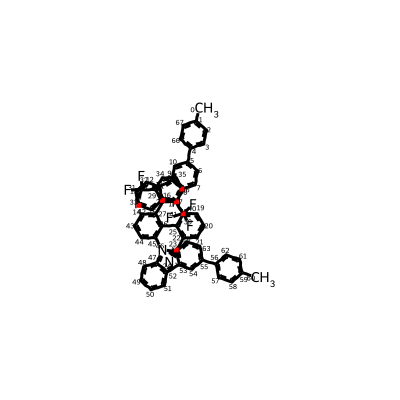 Cc1ccc(-c2ccc3c(c2)c2ccccc2n3-c2cccc(C#N)c2-c2c(-c3c(C(F)(F)F)cccc3C(F)(F)F)cccc2-n2c3ccccc3c3cc(-c4ccc(C)cc4)ccc32)cc1